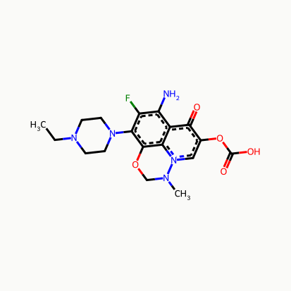 CCN1CCN(c2c(F)c(N)c3c(=O)c(OC(=O)O)cn4c3c2OCN4C)CC1